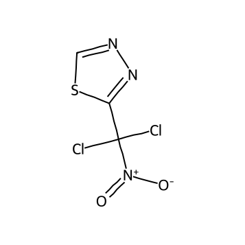 O=[N+]([O-])C(Cl)(Cl)c1nncs1